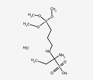 CCC(N)(NCCC[Si](OC)(OC)OC)S(=O)(=O)O.Cl